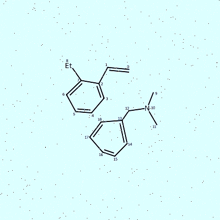 C=Cc1ccccc1CC.CN(C)Cc1ccccc1